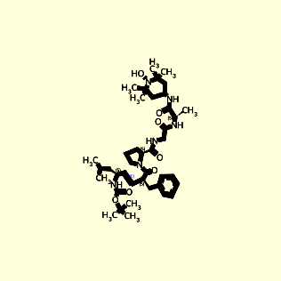 CC(C)C[C@@H](/C=C/[C@H](Cc1ccccc1)C(=O)N1CCC[C@H]1C(=O)NCC(=O)N[C@@H](C)C(=O)NC1CC(C)(C)N(O)C(C)(C)C1)NC(=O)OC(C)(C)C